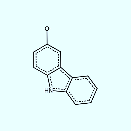 [O]c1ccc2[nH]c3ccccc3c2c1